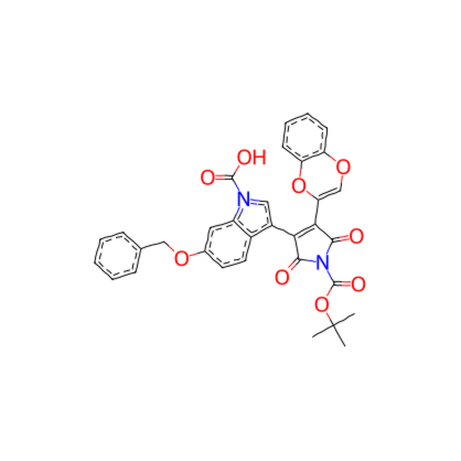 CC(C)(C)OC(=O)N1C(=O)C(C2=COc3ccccc3O2)=C(c2cn(C(=O)O)c3cc(OCc4ccccc4)ccc23)C1=O